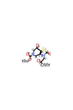 COC(=O)Cn1c2c(sc1=O)C(=O)CN(C(=O)OC(C)(C)C)C2